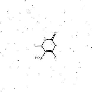 CC1=C(C(=O)O)C(C)OC(=O)C1